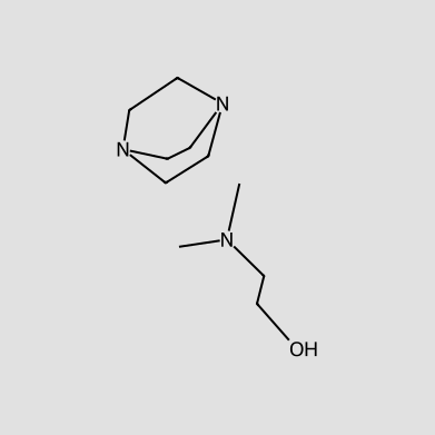 C1CN2CCN1CC2.CN(C)CCO